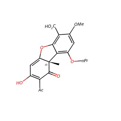 CCCOc1cc(OC)c(C(=O)O)c2c1[C@]1(C)C(=O)C(C(C)=O)=C(O)C=C1O2